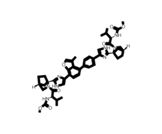 COC(=O)N[C@H](C(=O)N1C[C@@H]2CC[C@@]1(c1nc(-c3ccc(-c4ccc(-c5c[nH]c([C@@]67CC[C@@H](CN6C(=O)[C@@H](NC(=O)OC)C(C)C)C7)n5)c5occ(C)c45)cc3)c[nH]1)C2)C(C)C